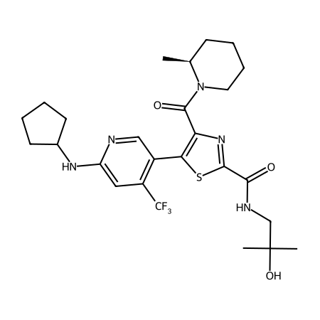 C[C@H]1CCCCN1C(=O)c1nc(C(=O)NCC(C)(C)O)sc1-c1cnc(NC2CCCC2)cc1C(F)(F)F